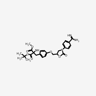 COC(=O)C(N)(Cc1ccc(OCC2CN(c3ccc(C(=N)N)cc3)C(=O)O2)cc1)C(=O)OC(C)(C)C